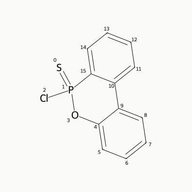 S=P1(Cl)Oc2ccccc2-c2ccccc21